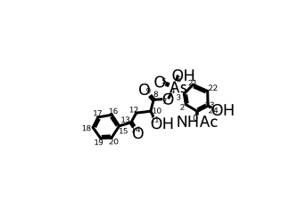 CC(=O)Nc1cc([As](=O)(O)OC(=O)C(O)CC(=O)c2ccccc2)ccc1O